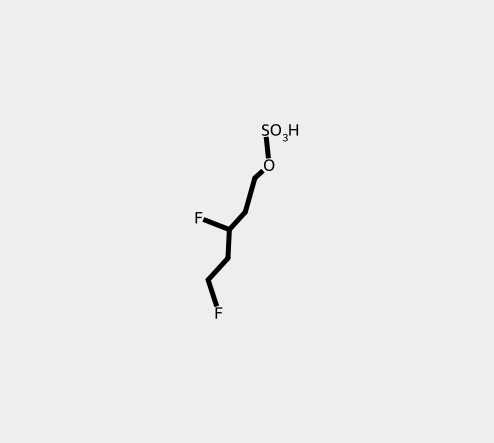 O=S(=O)(O)OCCC(F)CCF